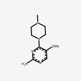 COc1cnc(N)nc1N1CCN(C)CC1